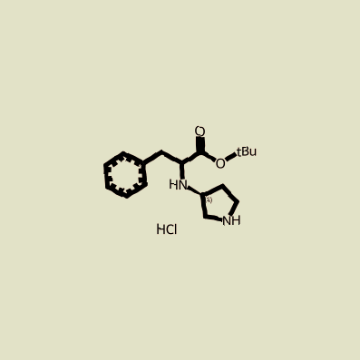 CC(C)(C)OC(=O)C(Cc1ccccc1)N[C@H]1CCNC1.Cl